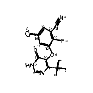 CC(C)(C)c1nc[nH]c(=O)c1Oc1cc(Cl)cc(C#N)c1F